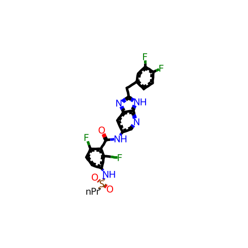 CCCS(=O)(=O)Nc1ccc(F)c(C(=O)Nc2cnc3[nH]c(Cc4ccc(F)c(F)c4)nc3c2)c1F